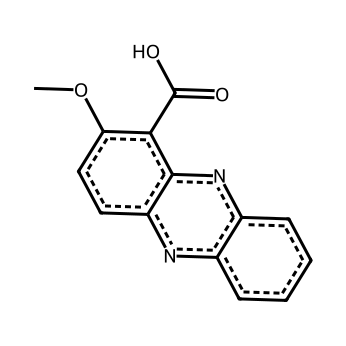 COc1ccc2nc3ccccc3nc2c1C(=O)O